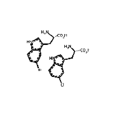 N[C@@H](Cc1c[nH]c2ccc(Br)cc12)C(=O)O.N[C@@H](Cc1c[nH]c2ccc(Cl)cc12)C(=O)O